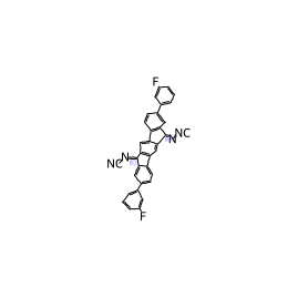 [C-]#[N+]/N=c1\c2cc(-c3cccc(F)c3)ccc2c2cc3/c(=N/C#N)c4cc(-c5cccc(F)c5)ccc4c3cc12